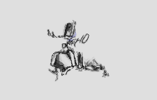 CCN(C(=O)C1CC1)c1cc(-c2ccc(N3CCN(CC4CC4)CC3)nc2)cc(C(=O)NC/C(C=O)=C(C)/C=C(/C)NC)c1C